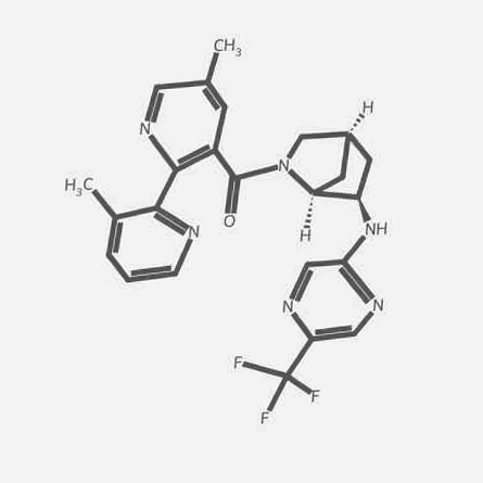 Cc1cnc(-c2ncccc2C)c(C(=O)N2C[C@H]3C[C@@H](Nc4cnc(C(F)(F)F)cn4)[C@@H]2C3)c1